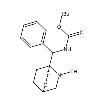 CN1CC2CCC1(C(NC(=O)OC(C)(C)C)c1ccccc1)CC2